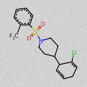 O=S(=O)(c1ccccc1C(F)(F)F)N1CCC(C2C=CCC=C2Cl)CC1